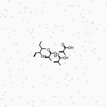 C=C(C)C(=O)O.C=C(C)C(=O)O.C=C(C)C(=O)O.C=CC(O)C(C)CC